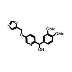 COc1ccc(C(O)c2ccc(OCc3cnco3)cn2)cc1OC